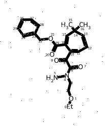 CCOCCN(N)C(=O)C(=O)C1=CC=CC(C)(C)C=C1C(=O)OCc1ccccc1